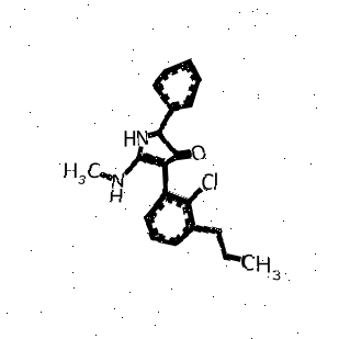 CCCc1cccc(C2=C(NC)NC(c3ccccc3)C2=O)c1Cl